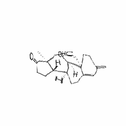 C=C1C=C2CC[C@@H]3[C@@H](CC[C@]4(C)C(=O)CC[C@@H]34)[C@@]2(C=O)CC1